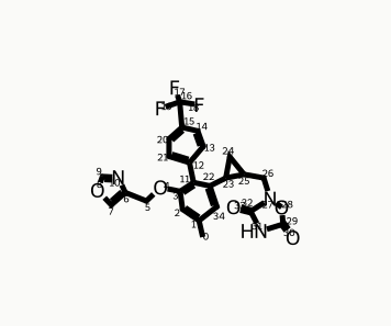 Cc1cc(OCc2cocn2)c(-c2ccc(C(F)(F)F)cc2)c(C2CC2Cn2oc(=O)[nH]c2=O)c1